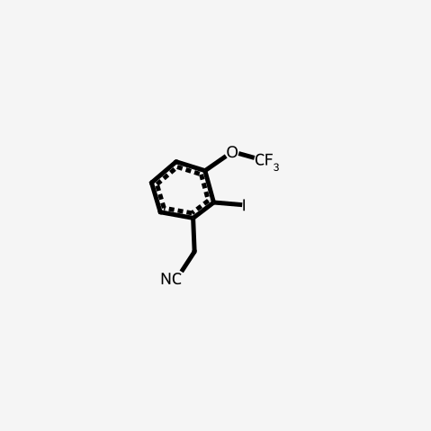 N#CCc1cccc(OC(F)(F)F)c1I